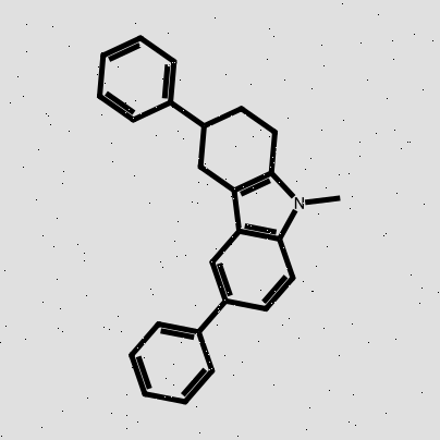 Cn1c2c(c3cc(-c4ccccc4)ccc31)CC(c1ccccc1)CC2